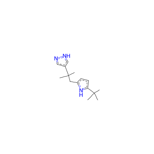 CC(C)(C)c1ccc(CC(C)(C)c2cn[nH]c2)[nH]1